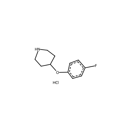 Cl.Fc1ccc(OC2CCNCC2)cc1